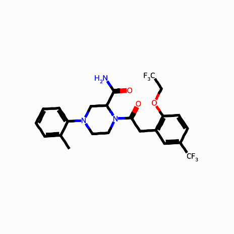 Cc1ccccc1N1CCN(C(=O)Cc2cc(C(F)(F)F)ccc2OCC(F)(F)F)C(C(N)=O)C1